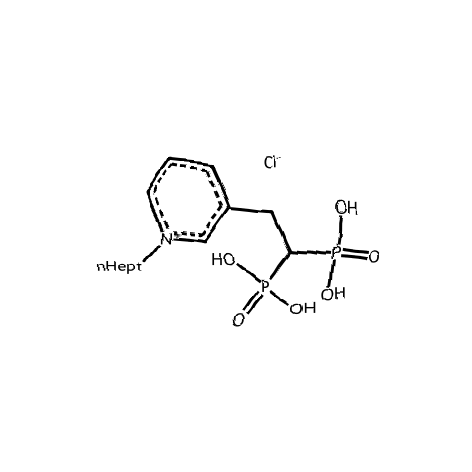 CCCCCCC[n+]1cccc(CC(P(=O)(O)O)P(=O)(O)O)c1.[Cl-]